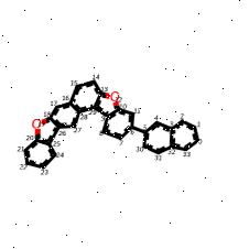 c1ccc2cc(-c3ccc4c(c3)oc3ccc5cc6oc7ccccc7c6cc5c34)ccc2c1